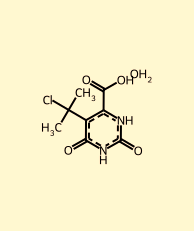 CC(C)(Cl)c1c(C(=O)O)[nH]c(=O)[nH]c1=O.O